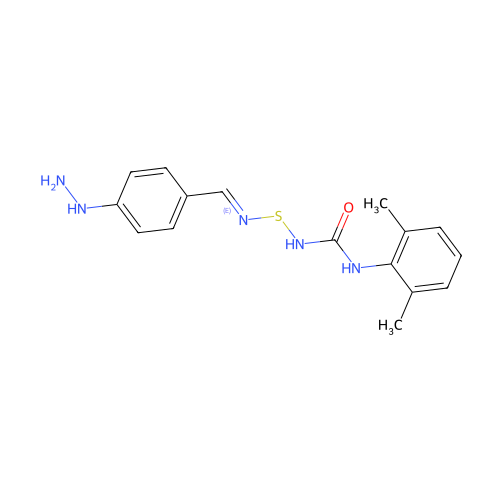 Cc1cccc(C)c1NC(=O)NS/N=C/c1ccc(NN)cc1